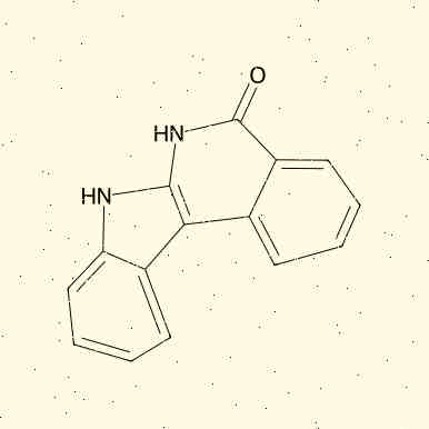 O=c1[nH]c2[nH]c3ccccc3c2c2ccccc12